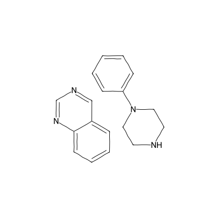 c1ccc(N2CCNCC2)cc1.c1ccc2ncncc2c1